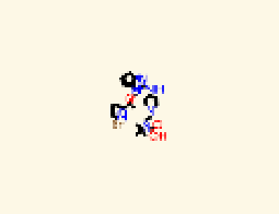 CC(OCn1c(NC2CCN(CCN(C(=O)O)C(C)(C)C)CC2)nc2ccccc21)c1cccc(Br)n1